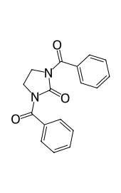 O=C(c1ccccc1)N1CCN(C(=O)c2ccccc2)C1=O